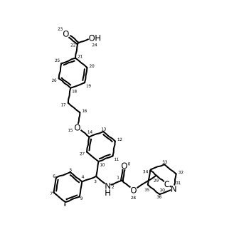 O=C(NC(c1ccccc1)c1cccc(OCCc2ccc(C(=O)O)cc2)c1)OC1CN2CCC1CC2